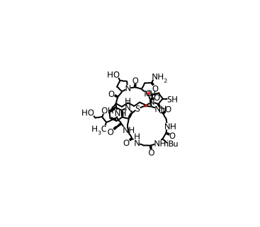 CCC(C)C1NC(=O)CNC(=O)C2Cc3c4[nH]c5cc(ccc35)C(CCCCCN3C(=O)CC(S)C3=O)(NC(C(C)C(O)CO)C(=O)N2)C(=O)C2CC(O)CN2C(=O)C(CC(N)=O)NC(=O)C(CS4)NC(=O)CNC1=O